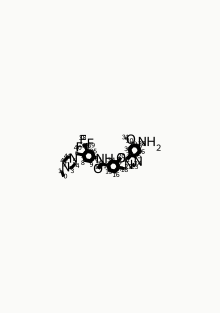 CCN1CCN(Cc2ccc(NC(=O)c3ccc(C)c(Oc4ncnc5cc(N)c(OC)cc45)c3)cc2C(F)(F)F)CC1